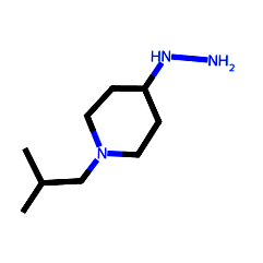 CC(C)CN1CCC(NN)CC1